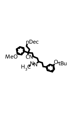 CCCCCCCCCCCCC(C#N)(CCCC(CCc1cccc(OC(C)(C)C)c1)/N=N/C)c1cccc(OC)c1